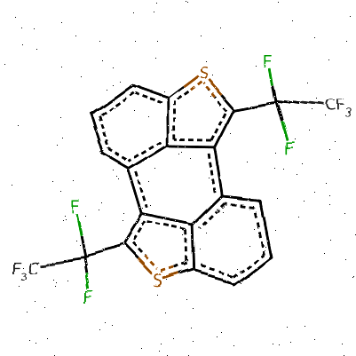 FC(F)(F)C(F)(F)c1sc2cccc3c4c(C(F)(F)C(F)(F)F)sc5cccc(c1c23)c54